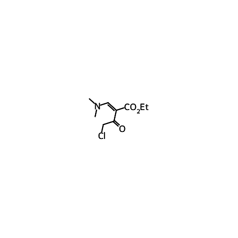 CCOC(=O)/C(=C/N(C)C)C(=O)CCl